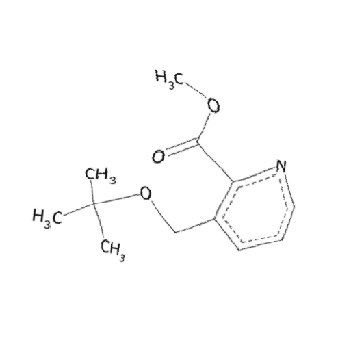 COC(=O)c1ncccc1COC(C)(C)C